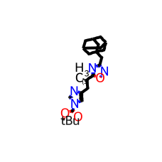 C[C@@H](Cc1cn(C(=O)OC(C)(C)C)cn1)c1nc(CC23CC4CC(CC(C4)C2)C3)no1